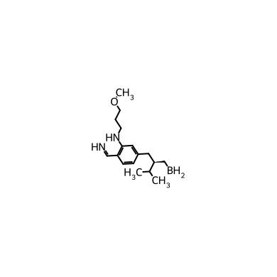 BC[C@H](Cc1ccc(C=N)c(NCCCOC)c1)C(C)C